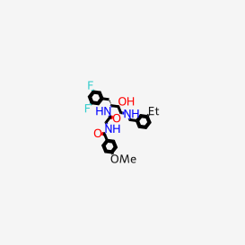 CCc1cccc(CNC[C@H](O)[C@@H](Cc2cc(F)cc(F)c2)NC(=O)CNC(=O)c2ccc(OC)cc2)c1